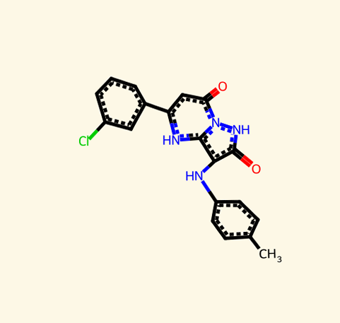 Cc1ccc(Nc2c(=O)[nH]n3c(=O)cc(-c4cccc(Cl)c4)[nH]c23)cc1